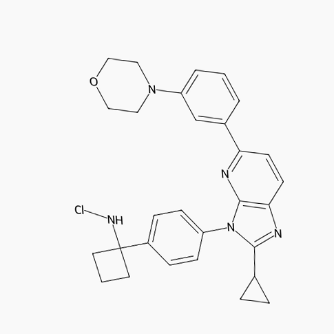 ClNC1(c2ccc(-n3c(C4CC4)nc4ccc(-c5cccc(N6CCOCC6)c5)nc43)cc2)CCC1